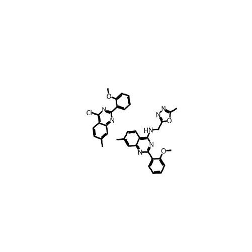 COc1ccccc1-c1nc(Cl)c2ccc(C)cc2n1.COc1ccccc1-c1nc(NCc2nnc(C)o2)c2ccc(C)cc2n1